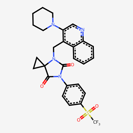 O=C1N(c2ccc(S(=O)(=O)C(F)(F)F)cc2)C(=O)C2(CC2)N1Cc1c(N2CCCCC2)cnc2ccccc12